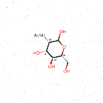 CC(=O)[15NH][C@@H]1C(O)O[C@H](CO)[C@@H](O)[C@@H]1O